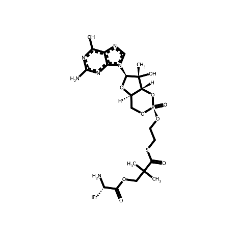 CC(C)[C@H](N)C(=O)OCC(C)(C)C(=O)SCCO[P@@]1(=O)OC[C@H]2O[C@@H](n3cnc4c(O)nc(N)nc43)[C@](C)(O)[C@@H]2O1